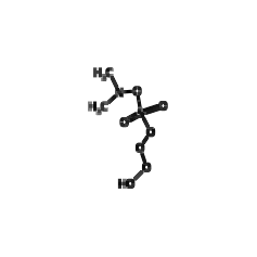 CN(C)OS(=O)(=O)OOOO